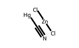 N#[C][Hg].[Cl][Zn][Cl]